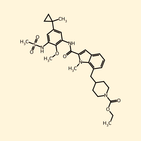 CCOC(=O)N1CCC(Cc2cccc3cc(C(=O)Nc4cc(C5(C)CC5)cc(NS(C)(=O)=O)c4OC)n(C)c23)CC1